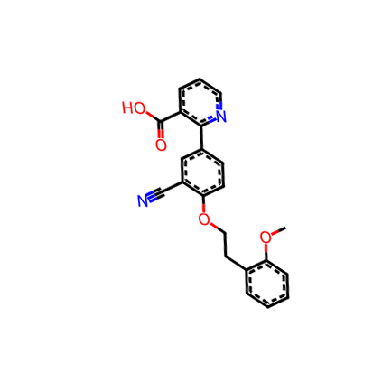 COc1ccccc1CCOc1ccc(-c2ncccc2C(=O)O)cc1C#N